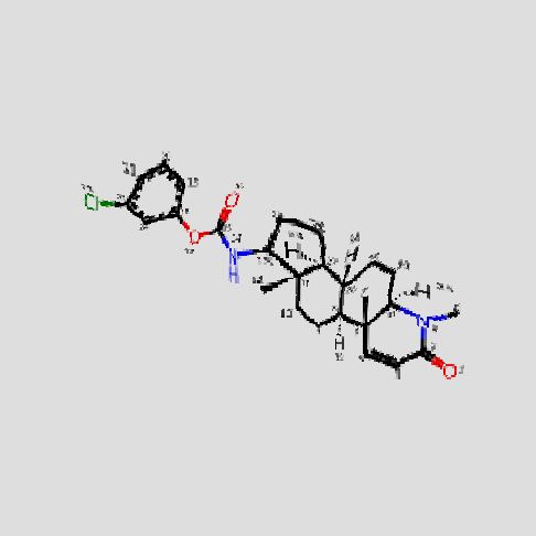 CN1C(=O)C=C[C@]2(C)[C@H]3CC[C@]4(C)[C@@H](NC(=O)Oc5cccc(Cl)c5)CC[C@H]4[C@@H]3CC[C@@H]12